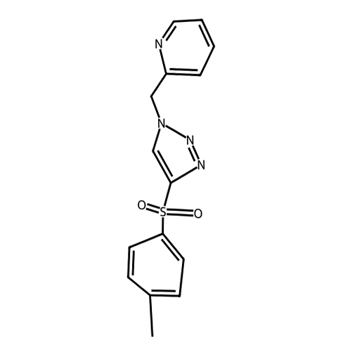 Cc1ccc(S(=O)(=O)c2cn(Cc3ccccn3)nn2)cc1